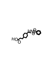 O=C(O)CCC1CCC(CCNS(=O)(=O)c2ccccc2)CC1